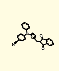 N#Cc1ccc(N(c2ccccc2)c2ccc(C=C3C(=O)c4ccccc4C3=O)s2)cc1